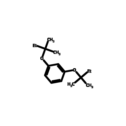 CCC(C)(C)Oc1cccc(OC(C)(C)CC)c1